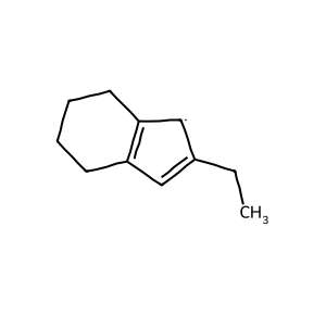 CCC1=CC2=C([CH]1)CCCC2